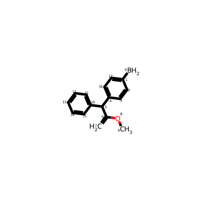 Bc1ccc(C(C(=C)OC)c2ccccc2)cc1